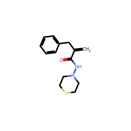 C=C(Cc1ccccc1)C(=O)NN1CCSCC1